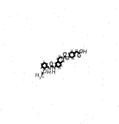 CCOc1ccccc1NC(=O)Nc1ccc2c(c1)CCN(C(=O)OC1CCC(CC(=O)O)CC1)C2